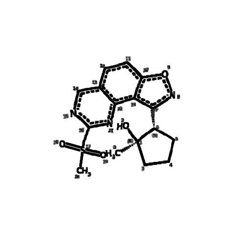 C[C@@]1(O)CCC[C@H]1c1noc2ccc3cnc(S(C)(=O)=O)nc3c12